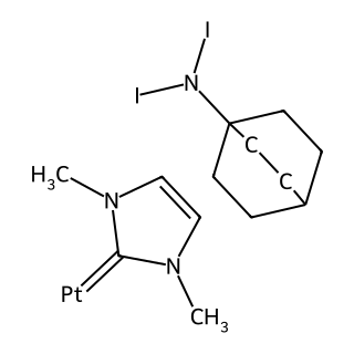 Cn1ccn(C)[c]1=[Pt].IN(I)C12CCC(CC1)CC2